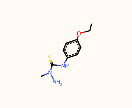 CCOc1ccc(NC(=S)N(C)N)cc1